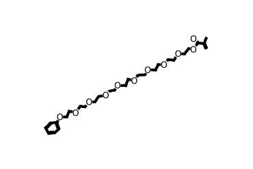 C=C(C)C(=O)OCCOCCOCCOCCOCCOCCOCCOCCOCCOc1ccccc1